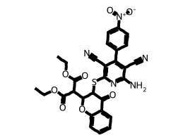 CCOC(=O)C(C(=O)OCC)C1Oc2ccccc2C(=O)C1Sc1nc(N)c(C#N)c(-c2ccc([N+](=O)[O-])cc2)c1C#N